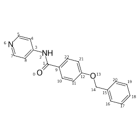 O=C(Nc1ccncc1)c1ccc(OCc2ccccc2)cc1